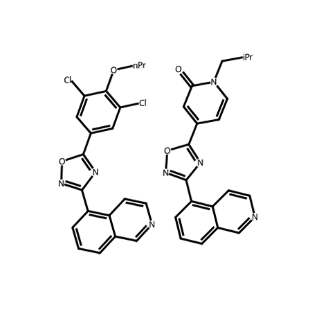 CC(C)Cn1ccc(-c2nc(-c3cccc4cnccc34)no2)cc1=O.CCCOc1c(Cl)cc(-c2nc(-c3cccc4cnccc34)no2)cc1Cl